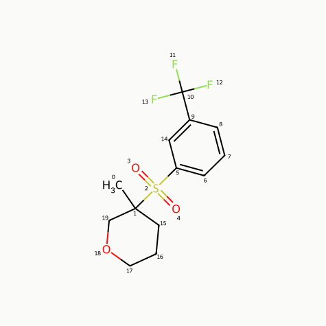 CC1(S(=O)(=O)c2cccc(C(F)(F)F)c2)CCCOC1